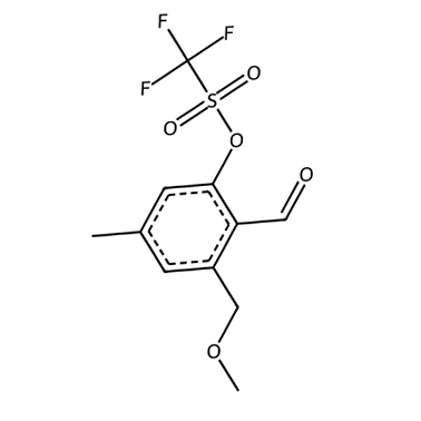 COCc1cc(C)cc(OS(=O)(=O)C(F)(F)F)c1C=O